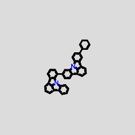 C1=CC(c2ccc3c(c2)c2cccc4c5ccc(-c6cccc7c8cccc9c%10ccccc%10n(c67)c98)cc5n3c24)=CCC1